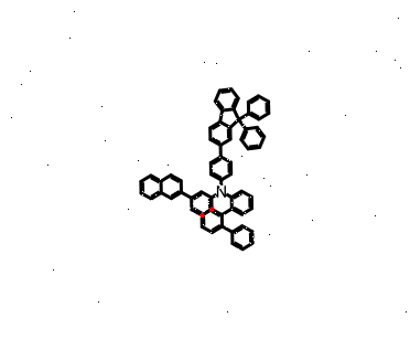 c1ccc(-c2ccccc2-c2ccccc2N(c2ccc(-c3ccc4c(c3)C(c3ccccc3)(c3ccccc3)c3ccccc3-4)cc2)c2cccc(-c3ccc4ccccc4c3)c2)cc1